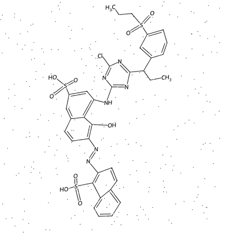 CCCS(=O)(=O)c1cccc(C(CC)c2nc(Cl)nc(Nc3cc(S(=O)(=O)O)cc4ccc(/N=N/c5ccc6ccccc6c5S(=O)(=O)O)c(O)c34)n2)c1